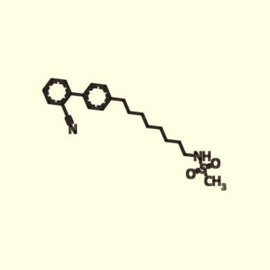 CS(=O)(=O)NCCCCCCCCc1ccc(-c2ccccc2C#N)cc1